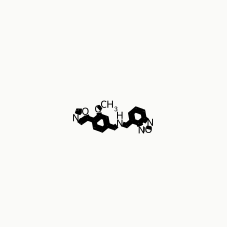 COc1cc(CNCc2cccc3nonc23)ccc1-c1cnco1